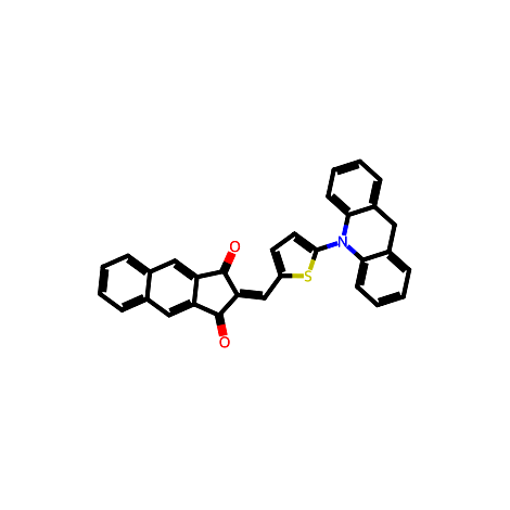 O=C1C(=Cc2ccc(N3c4ccccc4Cc4ccccc43)s2)C(=O)c2cc3ccccc3cc21